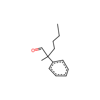 CCCCC(C)(C=O)c1ccccc1